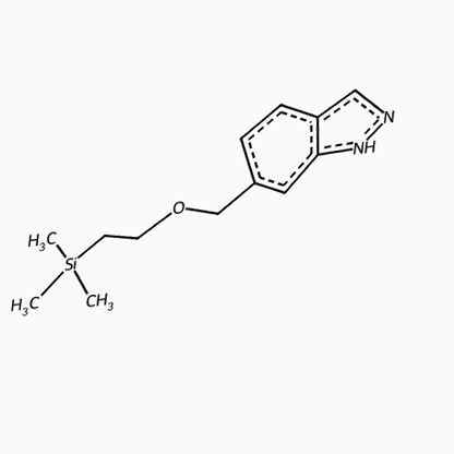 C[Si](C)(C)CCOCc1ccc2cn[nH]c2c1